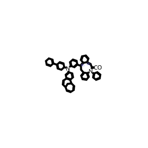 O=C=C1/C=c2/cccc/c2=C(\c2cccc(N(c3ccc4c(c3)C=CC3C=CC=CC4C3)C3C=CC(C4=CCCC=C4)=CC3)c2)Cc2ccccc2N1c1ccccc1